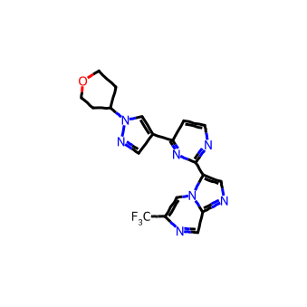 FC(F)(F)c1cn2c(-c3nccc(-c4cnn(C5CCOCC5)c4)n3)cnc2cn1